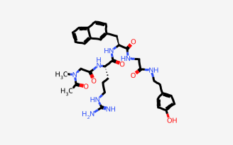 CC(=O)N(C)CC(=O)N[C@@H](CCCNC(=N)N)C(=O)N[C@@H](Cc1ccc2ccccc2c1)C(=O)NCC(=O)NCCc1ccc(O)cc1